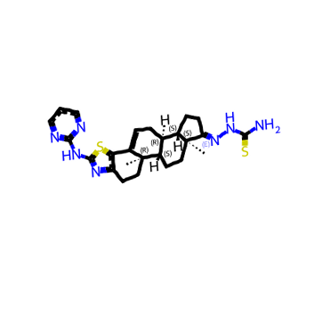 C[C@]12CCc3nc(Nc4ncccn4)sc3C1=CC[C@@H]1[C@@H]2CC[C@]2(C)/C(=N/NC(N)=S)CC[C@@H]12